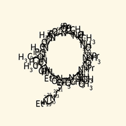 C/C=C/C[C@@H](C)[C@@H](O)[C@H]1C(=O)N[C@@H](CC)C(=O)N(C)[C@H](CSCCCN2CCN(CC)CC2)C(=O)N(C)[C@@H](CC(C)(C)O)C(=O)N[C@@H](C(C)C)C(=O)N(C)[C@@H](CC(C)C)C(=O)N[C@@H](C)C(=O)N[C@H](C)C(=O)N(C)[C@@H](CC(C)C)C(=O)N(C)[C@@H](CC(C)C)C(=O)N(C)[C@@H](C(C)C)C(=O)N1C